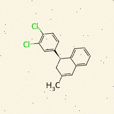 CC1=Cc2ccccc2[C@H](c2ccc(Cl)c(Cl)c2)C1